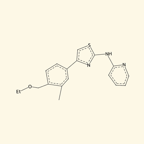 CCOCc1ccc(-c2csc(Nc3ccccn3)n2)cc1C